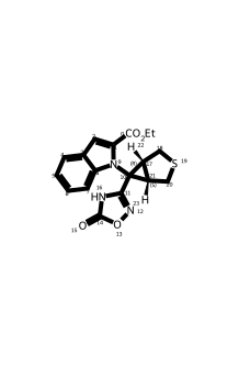 CCOC(=O)c1cc2ccccc2n1C1(c2noc(=O)[nH]2)[C@@H]2CSC[C@@H]21